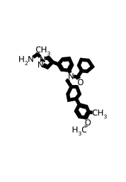 COc1ccc(C2CCC(CN(C(=O)C3CCCCC3)c3cccc(-c4cnn(C(C)N)c4)c3)CC2)cc1C